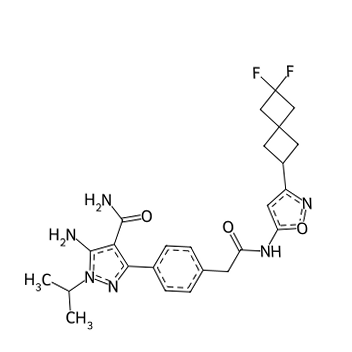 CC(C)n1nc(-c2ccc(CC(=O)Nc3cc(C4CC5(C4)CC(F)(F)C5)no3)cc2)c(C(N)=O)c1N